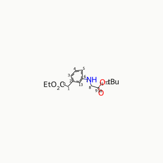 CCOC(=O)Cc1cccc(NCC(=O)OC(C)(C)C)c1